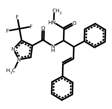 CNC(=O)C(NC(=O)c1cn(C)nc1C(F)(F)F)C(C=Cc1ccccc1)c1ccccc1